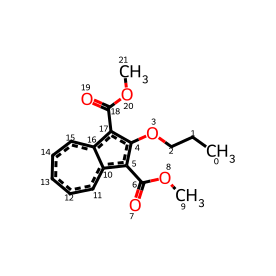 CCCOc1c(C(=O)OC)c2cccccc-2c1C(=O)OC